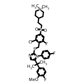 COc1cc(C(C)(C)c2cnc(SCc3c(F)cc(S(=O)(=O)CCC4CC[N+](C)(C)CC4)cc3Cl)n2-c2ccc(F)cc2)ccc1F